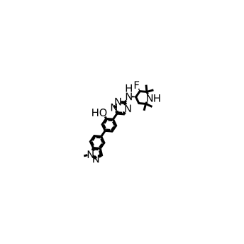 Cn1ncc2cc(-c3ccc(-c4cnc(N[C@@H]5CC(C)(C)NC(C)(C)[C@H]5F)nn4)c(O)c3)ccc21